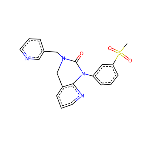 CS(=O)(=O)c1cccc(N2C(=O)N(Cc3cccnc3)Cc3cccnc32)c1